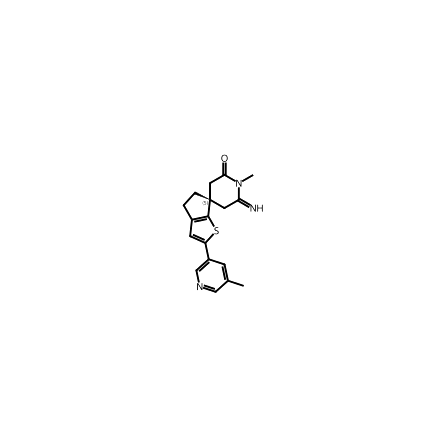 Cc1cncc(-c2cc3c(s2)[C@@]2(CC3)CC(=N)N(C)C(=O)C2)c1